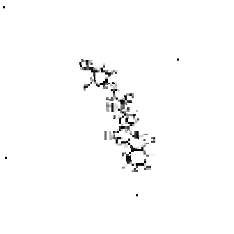 NC1=C(C(=O)NC2=C3CC(NC(=O)COc4ccc(Cl)c(F)c4)(C3)CC2O)C=CC=CC1